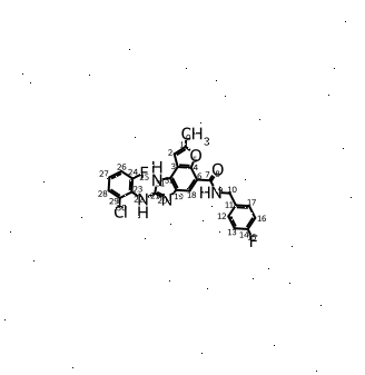 Cc1cc2c(o1)c(C(=O)NCc1ccc(F)cc1)cc1nc(Nc3c(F)cccc3Cl)[nH]c12